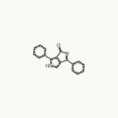 O=C1N=C(c2ccccc2)c2c[nH]c(-c3ccccc3)c21